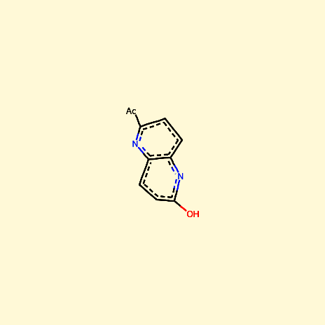 CC(=O)c1ccc2nc(O)ccc2n1